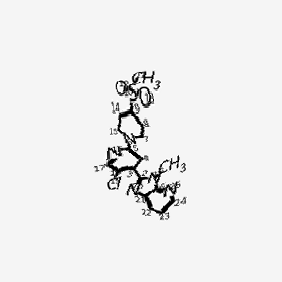 Cn1c(-c2cc(N3CCC(S(C)(=O)=O)CC3)ncc2Cl)nc2cccnc21